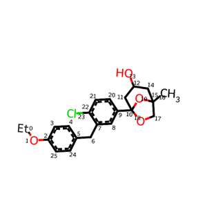 CCOc1ccc(Cc2cc(C34CC(O)CC(C)(CO3)O4)ccc2Cl)cc1